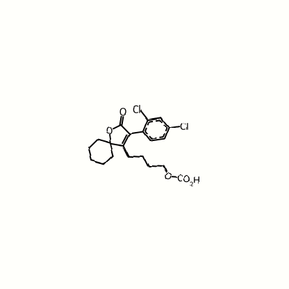 O=C(O)OCCCCC1=C(c2ccc(Cl)cc2Cl)C(=O)OC12CCCCC2